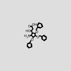 NC1C(OCc2ccccc2)C(OCc2ccccc2)C(OCc2ccccc2)C1C(O)CC(=O)O